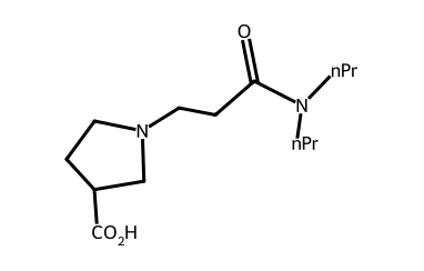 CCCN(CCC)C(=O)CCN1CCC(C(=O)O)C1